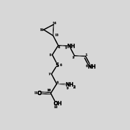 N=CCNC(CSC[C@H](N)C(=O)O)C1CC1